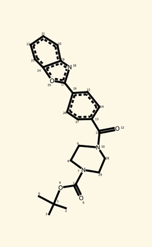 CC(C)(C)OC(=O)N1CCN(C(=O)c2ccc(-c3nc4ccccc4o3)cc2)CC1